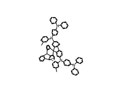 Cc1cccc(N(c2ccc(N(c3ccccc3)c3ccccc3)cc2)c2ccc3c(c2)C2(c4cc(N(c5ccc(N(c6ccccc6)c6ccccc6)cc5)c5cccc(C)c5)ccc4-3)c3ccccc3C3c4ccccc4-c4cccc2c43)c1